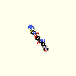 Cn1nnnc1SC1CCN(C(=O)Oc2ccc(NC(=O)c3ccc(CN4CCOCC4)cc3)cc2)CC1